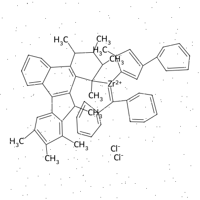 Cc1cc2c(c(C)c1C)C(C)c1c3c(c4ccccc4c1-2)C(C)C(C)C(C)[C]3(C)[Zr+2]([C]1=CC(c2ccccc2)=CC1C)=[C](c1ccccc1)c1ccccc1.[Cl-].[Cl-]